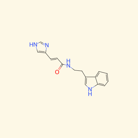 O=C(/C=C/c1c[nH]cn1)NCCc1c[nH]c2ccccc12